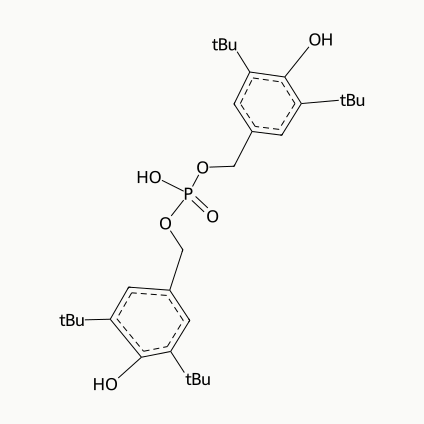 CC(C)(C)c1cc(COP(=O)(O)OCc2cc(C(C)(C)C)c(O)c(C(C)(C)C)c2)cc(C(C)(C)C)c1O